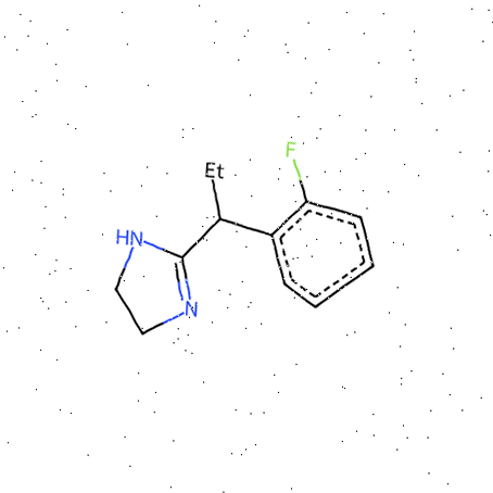 CCC(C1=NCCN1)c1ccccc1F